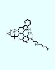 Cc1c(OCCNCCCF)ncc(F)c1C1c2[nH]c3ccccc3c2C[C@@H](C)N1CC(F)(F)CO